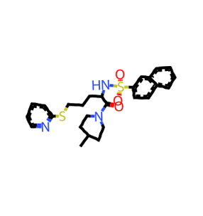 CC1CCN(C(=O)C(CCCSc2ccccn2)NS(=O)(=O)c2ccc3ccccc3c2)CC1